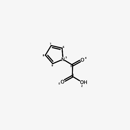 O=C(O)C(=O)n1cccc1